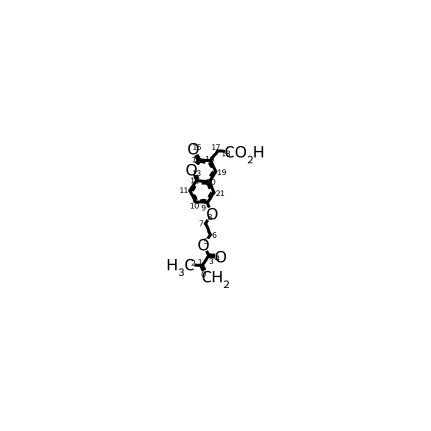 C=C(C)C(=O)OCCOc1ccc2oc(=O)c(CC(=O)O)cc2c1